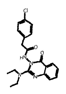 CCN(CC)c1nc2ccccc2c(=O)n1NC(=O)Cc1ccc(Cl)cc1